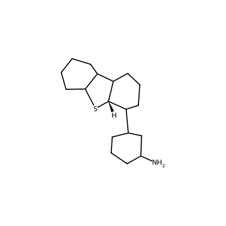 NC1CCCC(C2CCCC3C4CCCCC4S[C@@H]23)C1